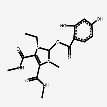 CCN1C(C(=O)NC)=C(C(=O)NC)N(C)C1OC(=O)c1ccc(O)cc1O